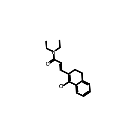 CCN(CC)C(=O)C=CC1=C(Cl)c2ccccc2CC1